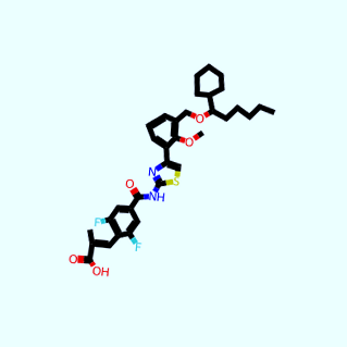 CCCCCC(OCc1cccc(-c2csc(NC(=O)c3cc(F)c(C=C(C)C(=O)O)c(F)c3)n2)c1OC)C1CCCCC1